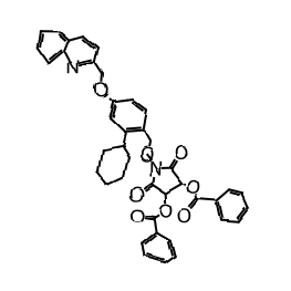 O=C(OC1C(=O)N(OCc2ccc(OCc3ccc4ccccc4n3)cc2C2CCCCC2)C(=O)[C@@H]1OC(=O)c1ccccc1)c1ccccc1